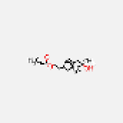 C=CC(=O)OCCC1CC2CC1CC2CC(C)(C)O